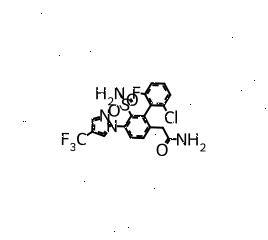 NC(=O)Cc1ccc(-n2cc(C(F)(F)F)cn2)c(S(N)(=O)=O)c1-c1c(F)cccc1Cl